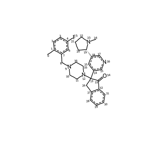 Cc1ccc(F)cc1CN1CCN(C2(c3cncc([C@@H]4CCCN4C)c3)Cc3ccccc3C2=O)CC1